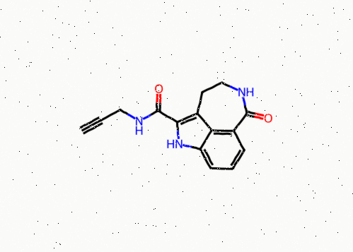 C#CCNC(=O)c1[nH]c2cccc3c2c1CCNC3=O